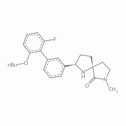 CCCCOc1cccc(F)c1-c1cccc([C@H]2CC[C@]3(CCN(C)C3=O)N2)c1